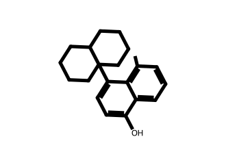 Cc1cccc2c(O)ccc(C34CCCCC3CCCC4)c12